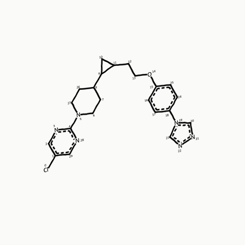 Clc1cnc(N2CCC(C3CC3CCOc3ccc(-n4cnnc4)cc3)CC2)nc1